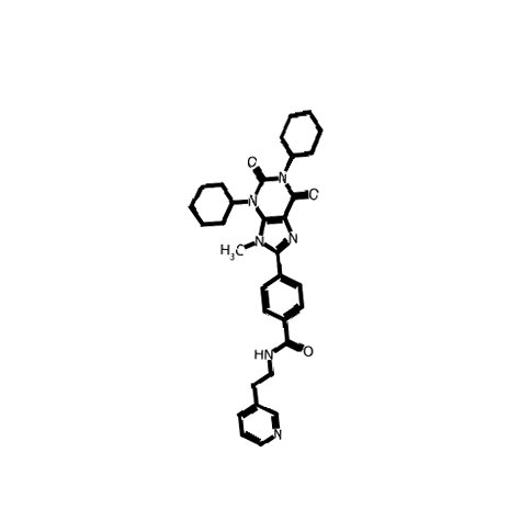 Cn1c(-c2ccc(C(=O)NCCc3cccnc3)cc2)nc2c(=O)n(C3CCCCC3)c(=O)n(C3CCCCC3)c21